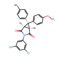 N#Cc1ccc([C@@]2(c3ccc(OC(F)(F)F)cc3)[C@@H]3C(=O)N(c4cc(Cl)cc(Cl)c4)C(=O)[C@@H]32)cc1